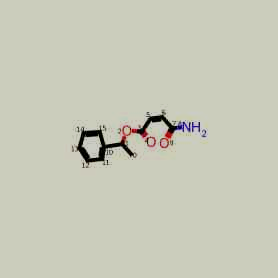 CC(OC(=O)/C=C\C(N)=O)c1ccccc1